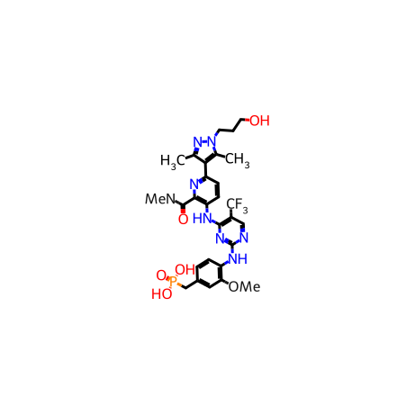 CNC(=O)c1nc(-c2c(C)nn(CCCO)c2C)ccc1Nc1nc(Nc2ccc(CP(=O)(O)O)cc2OC)ncc1C(F)(F)F